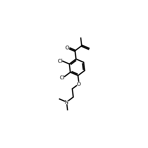 C=C(C)C(=O)c1ccc(OCCN(C)C)c(Cl)c1Cl